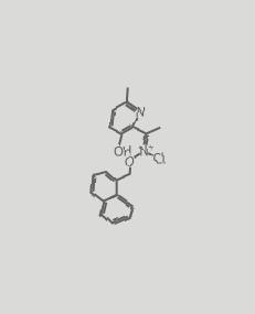 CC(c1nc(C)ccc1O)=[N+](Cl)OCc1cccc2ccccc12